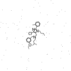 CCCCn1c(-c2ccccc2C)nc(Cl)c1CN(CCC(C)C)Cc1cccc(OCC)c1